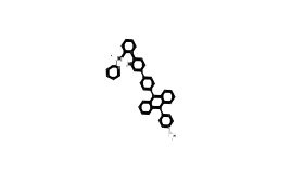 [C-]#[N+]c1ccc(-c2c3ccccc3c(-c3ccc(-c4ccc5c6ccccc6c6nc7ccccc7n6c5c4)cc3)c3ccccc23)cc1